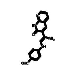 N/C(=C\Nc1ccc(C=O)cc1)c1cc2cccnc2[nH]c1=O